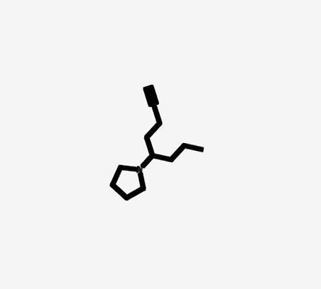 C#CCCC(CCC)N1CCCC1